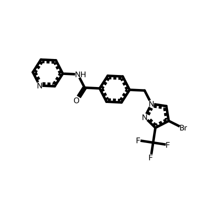 O=C(Nc1cccnc1)c1ccc(Cn2cc(Br)c(C(F)(F)F)n2)cc1